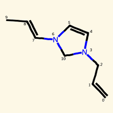 C=CCN1C=CN(C=CC)C1